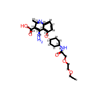 CCOCCOCC(=O)N[C@H]1CC[C@H](Oc2cccc3nc(C)c(C(=O)O)c(N)c23)CC1